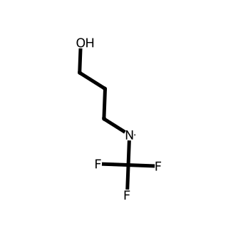 OCCC[N]C(F)(F)F